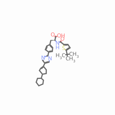 CC(C)(C)c1ccc(C(=O)N[C@@H](Cc2ccc(-c3ncc(C4=CCC(C5CCCCC5)CC4)cn3)cc2)C(=O)O)s1